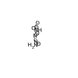 NC(=O)N1CCC(CN2CCOC(CNC(=O)OCc3ccccc3)C2)CC1